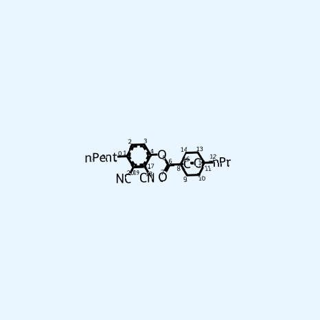 CCCCCc1ccc(OC(=O)C23CCC(CCC)(CC2)CC3)c(C#N)c1C#N